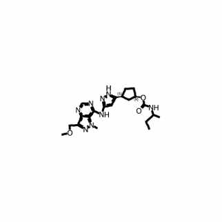 CCC(C)NC(=O)O[C@@H]1CC[C@H](c2cc(Nc3ncnc4c(COC)nn(C)c34)n[nH]2)C1